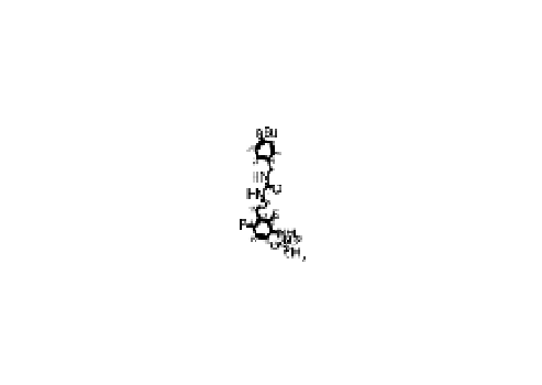 CCCCc1ccc(CNC(=O)NSCc2c(F)ccc(NS(C)(=O)=O)c2F)cc1